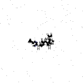 C=C(/C=C\C(=C/C)Nc1ccc(C(=O)c2c[nH]c3ncnc(NC(C)CC)c23)c(F)n1)C1CC1